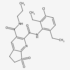 CCCNC(=O)c1cc2c(nc1C(=O)Nc1c(CC)ccc(Cl)c1CC)S(=O)(=O)CC2